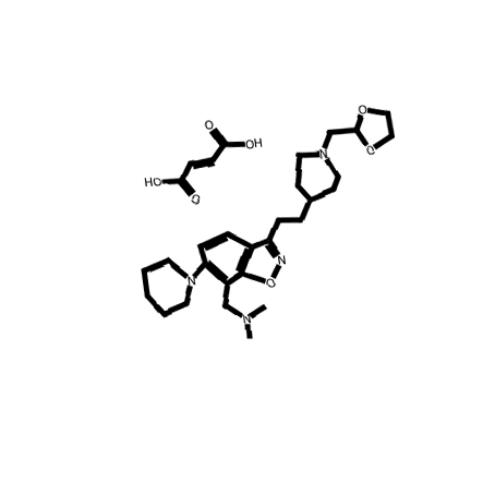 CN(C)Cc1c(N2CCCCC2)ccc2c(CCC3CCN(CC4OCCO4)CC3)noc12.O=C(O)/C=C/C(=O)O